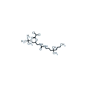 CCCCC(C)(C)CCCNC(=O)NCC(COC(C)(C)C)OC(=O)C(Cl)Cl